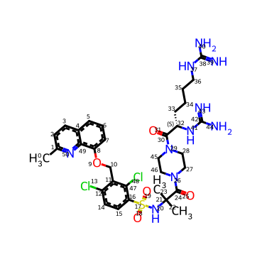 Cc1ccc2cccc(OCc3c(Cl)ccc(S(=O)(=O)NC(C)(C)C(=O)N4CCN(C(=O)[C@H](CCCCNC(=N)N)NC(=N)N)CC4)c3Cl)c2n1